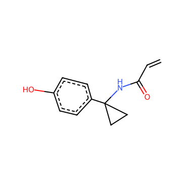 C=CC(=O)NC1(c2ccc(O)cc2)CC1